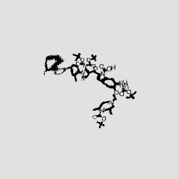 Cc1cc(Oc2ccccc2F)ccc1-n1ncc(C(=O)c2cc3cc(OCCN4CC(C)N(C(=O)OC(C)(C)C)C(C)C4)c(NC(=O)OC(C)(C)C)cc3n2C(=O)O)c1N(C(=O)OC(C)(C)C)C(=O)OC(C)(C)C